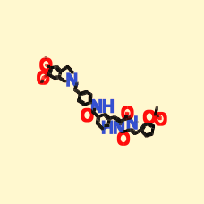 COc1cc2c(cc1OC)CN(CCc1ccc(NC(=O)c3cccc(C=c4[nH]c(=O)c(=Cc5cccc(OC(C)=O)c5)n(C)c4=O)c3)cc1)CC2